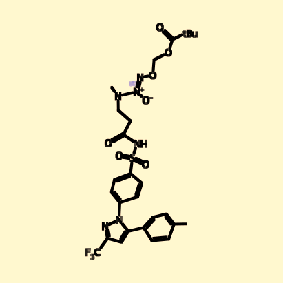 Cc1ccc(-c2cc(C(F)(F)F)nn2-c2ccc(S(=O)(=O)NC(=O)CCN(C)/[N+]([O-])=N/OCOC(=O)C(C)(C)C)cc2)cc1